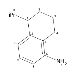 CC(C)C1CCCc2c(N)cccc21